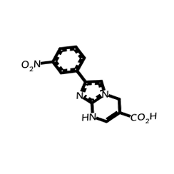 O=C(O)C1=CNc2nc(-c3cccc([N+](=O)[O-])c3)cn2C1